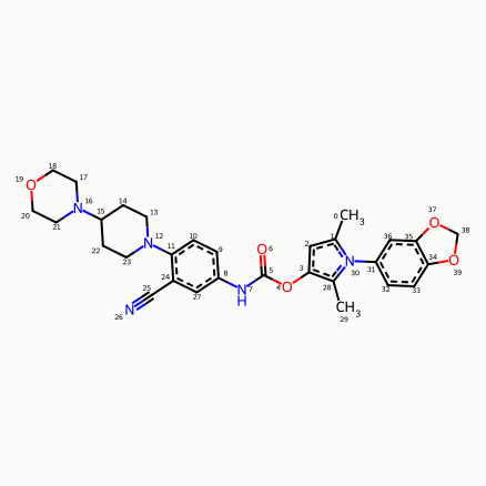 Cc1cc(OC(=O)Nc2ccc(N3CCC(N4CCOCC4)CC3)c(C#N)c2)c(C)n1-c1ccc2c(c1)OCO2